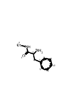 CCNC(=O)C(N)Cc1ccccc1